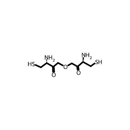 N[C@@H](CS)C(=O)COCC(=O)[C@@H](N)CS